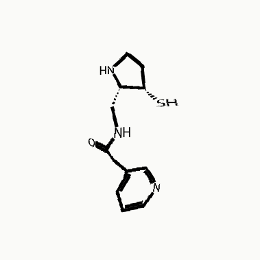 O=C(NC[C@@H]1NCC[C@@H]1S)c1cccnc1